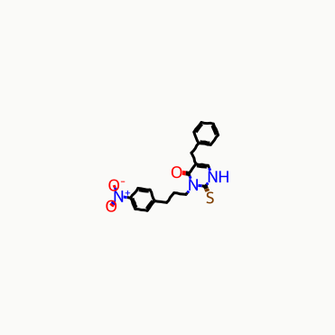 O=c1c(Cc2ccccc2)c[nH]c(=S)n1CCCc1ccc([N+](=O)[O-])cc1